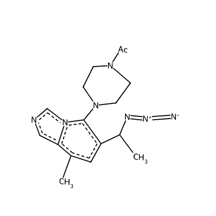 CC(=O)N1CCN(c2c(C(C)N=[N+]=[N-])cc(C)c3cncn23)CC1